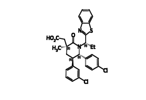 CC[C@@H](c1nc2ccccc2s1)N1C(=O)[C@](C)(CC(=O)O)C[C@H](c2cccc(Cl)c2)[C@H]1c1ccc(Cl)cc1